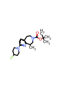 CC1CN(C(=O)OC(C)(C)C)CCc2ccc(N3CCC(F)CC3)nc21